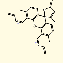 C=C/C=C\c1c(C)ccc2c1Oc1c(ccc(C)c1/C=C\C=C)C21OC(=O)C=C1C